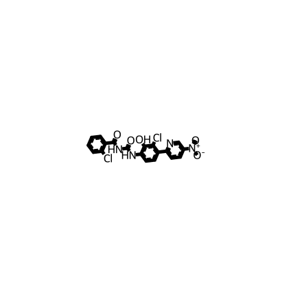 O=C(NC(=O)c1ccccc1Cl)Nc1ccc(-c2ccc([N+](=O)[O-])cn2)c(Cl)c1O